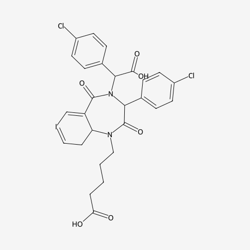 O=C(O)CCCCN1C(=O)C(c2ccc(Cl)cc2)N(C(C(=O)O)c2ccc(Cl)cc2)C(=O)C2=CI=CCC21